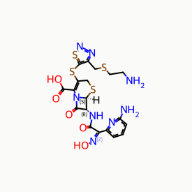 NCCSCc1nnsc1SC1=C(C(=O)O)N2C(=O)[C@@H](NC(=O)/C(=N\O)c3cccc(N)n3)[C@@H]2SC1